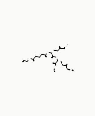 C=CCOC(=O)[C@@H](N)CCC(=O)N[C@@H](CCC(=O)C=[N+]=[N-])C(=O)N[C@@H](CCC(=O)C=[N+]=[N-])C(=O)OCC